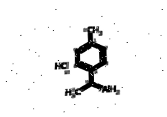 Cc1ccc([CH](C)[AlH2])cc1.Cl